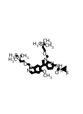 COc1cc2cnn(COCC[Si](C)(C)C)c2cc1-c1cn(COCC[Si](C)(C)C)c2nc(NC(=O)[C@@H]3C[C@@H]3F)ccc12